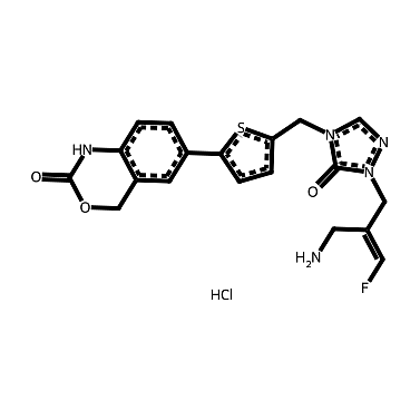 Cl.NC/C(=C\F)Cn1ncn(Cc2ccc(-c3ccc4c(c3)COC(=O)N4)s2)c1=O